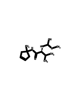 COC(O)N[C@@H](C(=O)NC1(C)CC=CC1)C(C)C